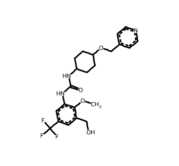 COc1c(CO)cc(C(F)(F)F)cc1NC(=O)NC1CCC(OCc2ccncc2)CC1